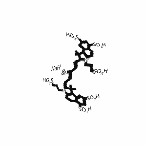 CC1(C)C(/C=C/C(Br)=C/C=C2/N(CCCS(=O)(=O)O)c3ccc4c(S(=O)(=O)O)cc(S(=O)(=O)O)cc4c3C2(C)C)=[N+](CCCS(=O)(=O)O)c2ccc3c(S(=O)(=O)O)cc(S(=O)(=O)O)cc3c21.[NaH]